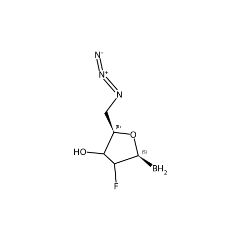 B[C@@H]1O[C@H](CN=[N+]=[N-])C(O)C1F